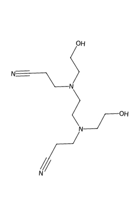 N#CCCN(CCO)CCN(CCO)CCC#N